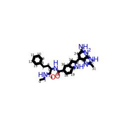 CCNC(=O)C(CCc1ccccc1)NC(=O)c1ccc2[nH]c(-c3cc(N)nc4[nH]c(C)nc34)cc2c1